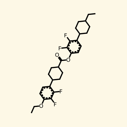 CCOc1ccc(C2CCC(C(=O)Oc3ccc(C4CCC(CC)CC4)c(F)c3F)CC2)c(F)c1F